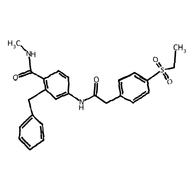 CCS(=O)(=O)c1ccc(CC(=O)Nc2ccc(C(=O)NC)c(Cc3ccccc3)c2)cc1